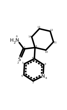 NC(=S)C1(c2cccnc2)CCCCC1